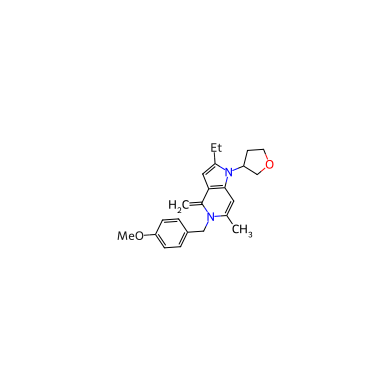 C=C1c2cc(CC)n(C3CCOC3)c2C=C(C)N1Cc1ccc(OC)cc1